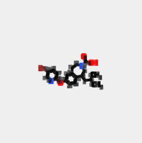 CC(C)CC1CN(C(=O)O)CCc2cc(Oc3ccc(Br)cn3)ccc21